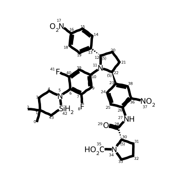 CC1(C)CCN(c2c(F)cc(N3[C@H](c4ccc([N+](=O)[O-])cc4)CC[C@H]3c3ccc(NC(=O)[C@@H]4CCCN4C(=O)O)c([N+](=O)[O-])c3)cc2F)[SiH2]C1